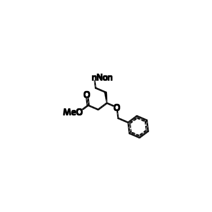 CCCCCCCCCCC[C@H](CC(=O)OC)OCc1ccccc1